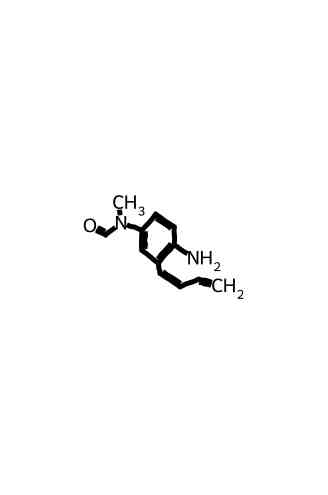 C=C/C=C\c1cc(N(C)C=O)ccc1N